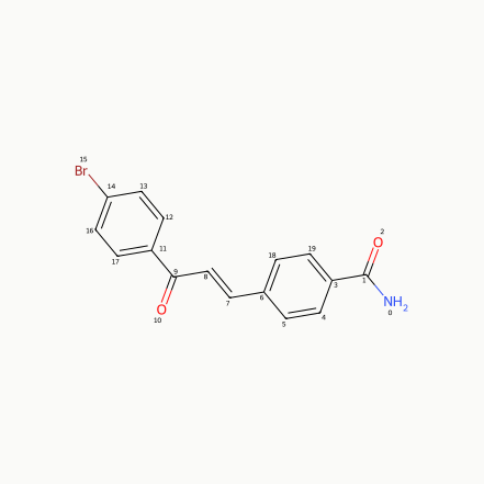 NC(=O)c1ccc(/C=C/C(=O)c2ccc(Br)cc2)cc1